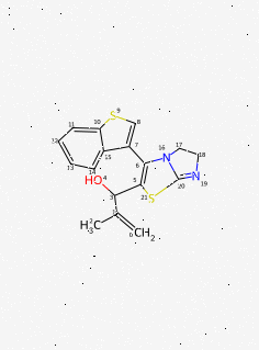 C=C(C)C(O)C1=C(c2csc3ccccc23)N2CCN=C2S1